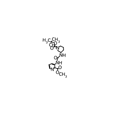 COC(=O)c1ncccc1NC1OC1NC1CCCN(C(=O)OC(C)(C)C)C1